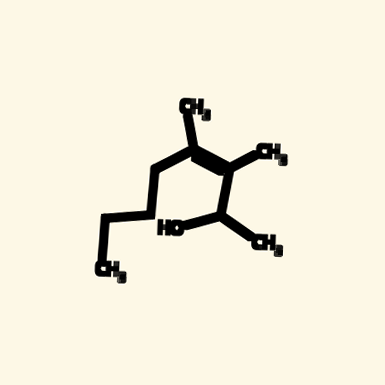 CCCCC(C)=C(C)C(C)O